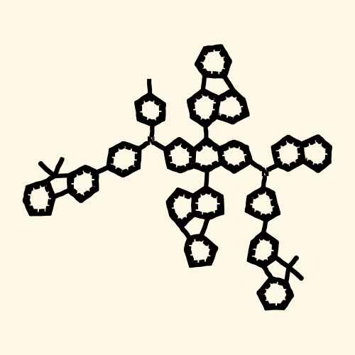 Cc1ccc(N(c2ccc(-c3ccc4c(c3)C(C)(C)c3ccccc3-4)cc2)c2ccc3c(-c4ccc5c6c(cccc46)-c4ccccc4-5)c4cc(N(c5ccc(-c6ccc7c(c6)C(C)(C)c6ccccc6-7)cc5)c5ccc6ccccc6c5)ccc4c(-c4ccc5c6c(cccc46)-c4ccccc4-5)c3c2)cc1